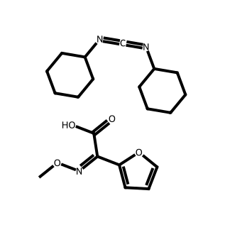 C(=NC1CCCCC1)=NC1CCCCC1.CON=C(C(=O)O)c1ccco1